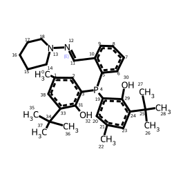 Cc1cc(P(c2ccccc2/C=N/N2CCCCC2)c2cc(C)cc(C(C)(C)C)c2O)c(O)c(C(C)(C)C)c1